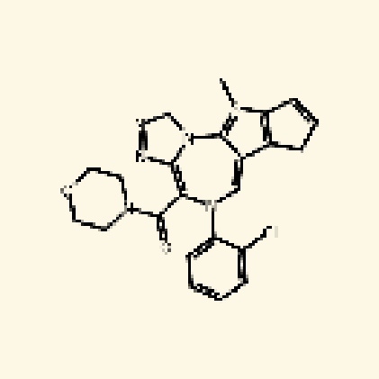 CS1=C2C(=CN(c3ccccc3Cl)C(C(=O)N3CCOCC3)=C3N=NCN32)C2=C1C=CC2